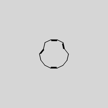 [CH]1/C=C\C=C\CCC/C=C\CC/C=C/1